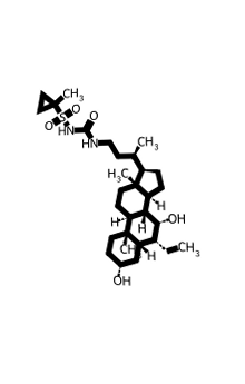 CC[C@H]1[C@@H](O)[C@@H]2[C@H](CC[C@]3(C)[C@@H]([C@H](C)CCNC(=O)NS(=O)(=O)C4(C)CC4)CC[C@@H]23)[C@@]2(C)CC[C@@H](O)C[C@@H]12